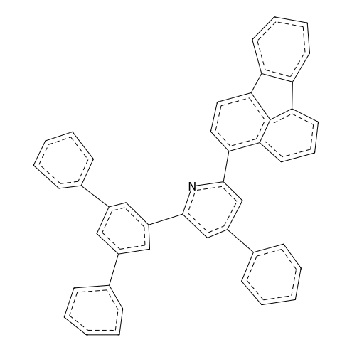 c1ccc(-c2cc(-c3ccccc3)cc(-c3cc(-c4ccccc4)cc(-c4ccc5c6c(cccc46)-c4ccccc4-5)n3)c2)cc1